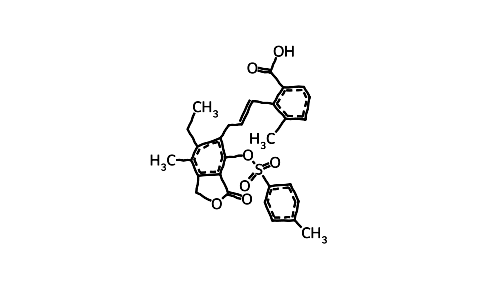 CCc1c(C)c2c(c(OS(=O)(=O)c3ccc(C)cc3)c1CC=Cc1c(C)cccc1C(=O)O)C(=O)OC2